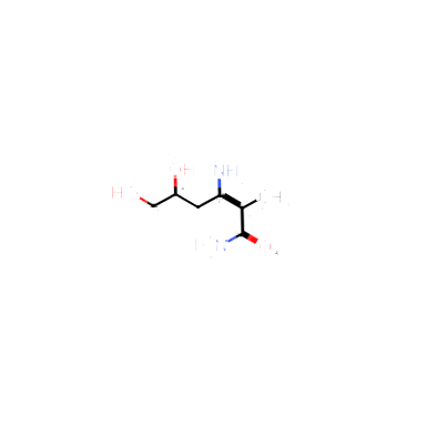 CC(C(N)=O)=C(N)CC(O)CO